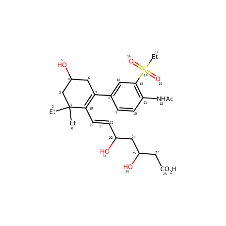 CCC1(CC)CC(O)CC(c2ccc(NC(C)=O)c(S(=O)(=O)CC)c2)=C1/C=C/C(O)CC(O)CC(=O)O